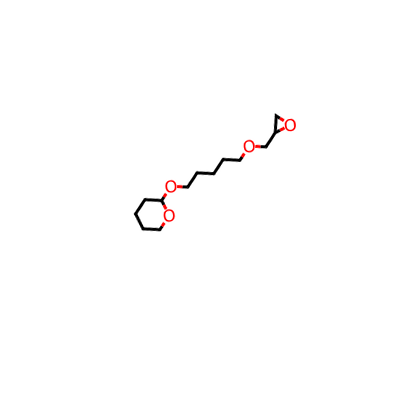 C(CCOCC1CO1)CCOC1CCCCO1